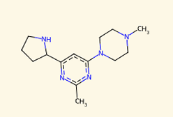 Cc1nc(C2CCCN2)cc(N2CCN(C)CC2)n1